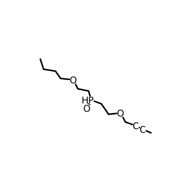 CCCCOCC[PH](=O)CCOCCCC